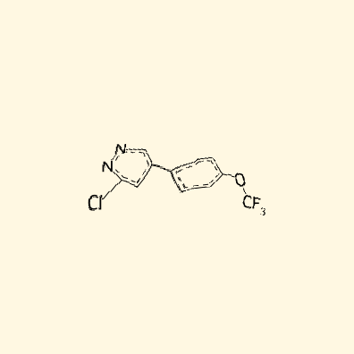 FC(F)(F)Oc1ccc(-c2cnnc(Cl)c2)cc1